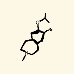 CC(C)Oc1cc2c(cc1Br)CCN(C)CC2